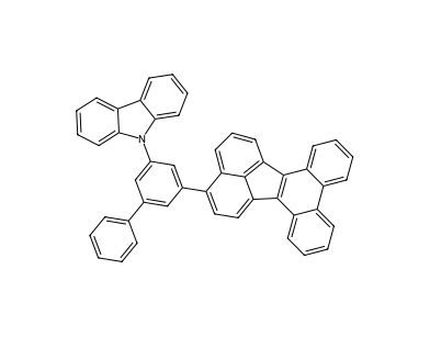 c1ccc(-c2cc(-c3ccc4c5c(cccc35)-c3c-4c4ccccc4c4ccccc34)cc(-n3c4ccccc4c4ccccc43)c2)cc1